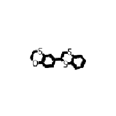 c1ccc2c(c1)SCC(c1ccc3c(c1)SCCO3)S2